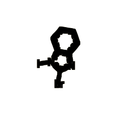 Brc1nc2ccccc2n1I